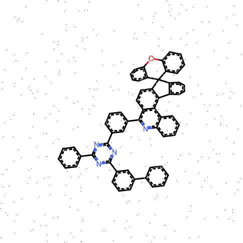 c1ccc(-c2cccc(-c3nc(-c4ccccc4)nc(-c4cccc(-c5nc6ccccc6c6c7c(ccc56)C5(c6ccccc6Oc6ccccc65)c5ccccc5-7)c4)n3)c2)cc1